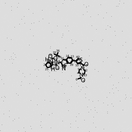 CC(=O)N1CCN(C(=O)c2cc(-c3ccc(C[C@@H](C#N)NC(=O)[C@@H]4[C@H]5CC[C@H](C5)N4C(=O)OC(C)(C)C)c(F)c3)cs2)CC1